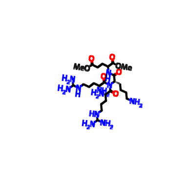 COC(=O)CCC(NC(=O)[C@H](CCCCN)N(C(=O)[C@@H](N)CCCNC(N)N)C(=O)[C@@H](N)CCCNC(N)N)C(=O)OC